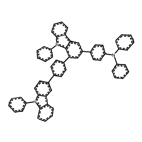 c1ccc(N(c2ccccc2)c2ccc(-c3cc(-c4ccc(-c5ccc6c(c5)c5ccccc5n6-c5ccccc5)cc4)c4c(c3)c3ccccc3n4-c3ccccc3)cc2)cc1